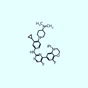 CC(C)N1CCOc2c(F)cc(-c3nc(Nc4ccc(N5CCC(N(C)C)CC5)c(C5CC5)c4)ncc3F)cc21